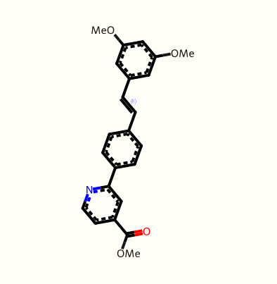 COC(=O)c1ccnc(-c2ccc(/C=C/c3cc(OC)cc(OC)c3)cc2)c1